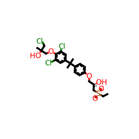 CCS(=O)(=O)C[C@@H](O)COc1ccc(C(C)(C)c2cc(Cl)c(OCC(C)(O)CCl)c(Cl)c2)cc1